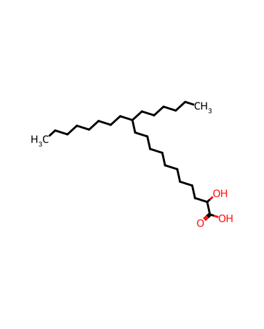 CCCCCCCCC(CCCCCC)CCCCCCCCCC(O)C(=O)O